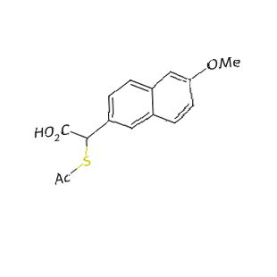 COc1ccc2cc(C(SC(C)=O)C(=O)O)ccc2c1